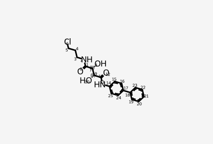 O=C(NCCCCl)[C@H](O)[C@@H](O)C(=O)Nc1ccc(-c2ccccc2)cc1